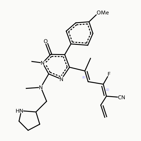 C=C/C(C#N)=C(F)\C=C(/C)c1nc(N(C)CC2CCCN2)n(C)c(=O)c1-c1ccc(OC)cc1